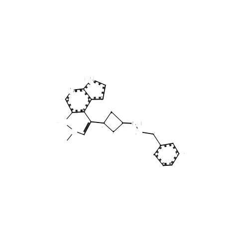 OB1C=C(C2CC(NSCc3ccccc3)C2)c2c(cnc3[nH]ccc23)O1